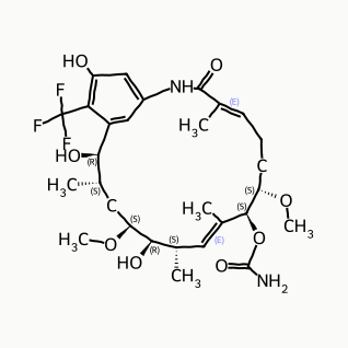 CO[C@H]1C[C@H](C)[C@@H](O)c2cc(cc(O)c2C(F)(F)F)NC(=O)/C(C)=C/CC[C@H](OC)[C@@H](OC(N)=O)/C(C)=C/[C@H](C)[C@H]1O